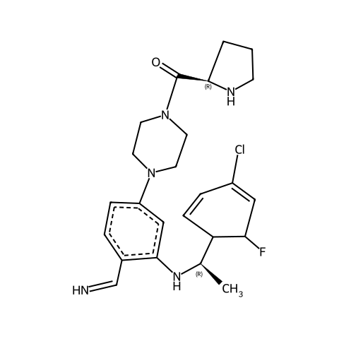 C[C@@H](Nc1cc(N2CCN(C(=O)[C@H]3CCCN3)CC2)ccc1C=N)C1C=CC(Cl)=CC1F